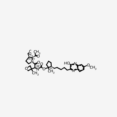 CC[C@@H]1CCN(C(=O)C(NC(=O)OC2(C)CCC[C@H]2CCCCCc2nc3ccc(OC)cc3nc2O)C2(C)COC2)[C@@H]1C(C)=O